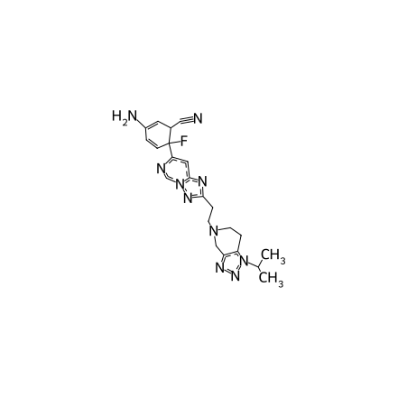 CC(C)n1nnc2c1CCN(CCc1nc3cc(C4(F)C=CC(N)=CC4C#N)ncn3n1)C2